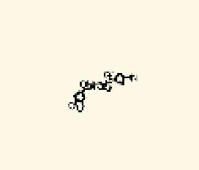 N#Cc1ccc([S+]([O-])N2CCC3CN(CCC(O)c4ccc5c(c4)COC5=O)CC32)cc1